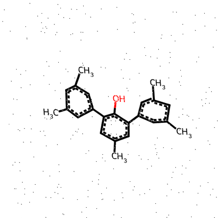 Cc1cc(C)cc(-c2cc(C)cc(-c3cc(C)cc(C)c3)c2O)c1